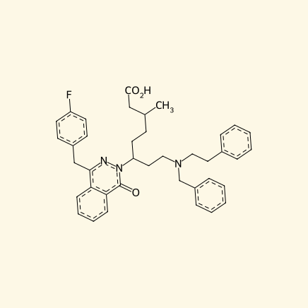 CC(CCC(CCN(CCc1ccccc1)Cc1ccccc1)n1nc(Cc2ccc(F)cc2)c2ccccc2c1=O)CC(=O)O